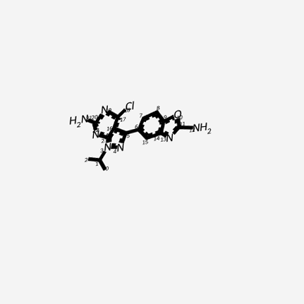 CC(C)n1nc(-c2ccc3oc(N)nc3c2)c2c(Cl)nc(N)nc21